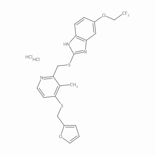 Cc1c(SCc2ccco2)ccnc1CSc1nc2cc(OCC(F)(F)F)ccc2[nH]1.Cl.Cl